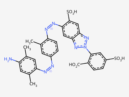 Cc1cc(/N=N\c2ccc(/N=N\c3cc4nn(-c5cc(S(=O)(=O)O)ccc5C(=O)O)nc4cc3S(=O)(=O)O)c(C)c2)c(C)cc1N